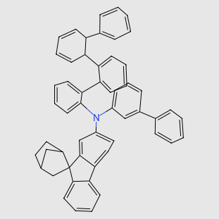 C1=CC(c2ccccc2)C(c2ccccc2-c2ccccc2N(c2cccc(-c3ccccc3)c2)c2ccc3c(c2)C2(CC4CCC2C4)c2ccccc2-3)C=C1